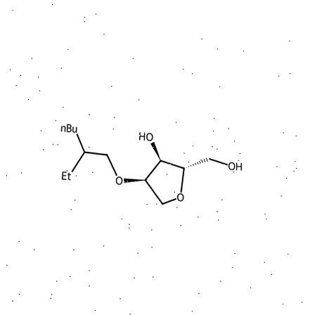 CCCCC(CC)CO[C@@H]1CO[C@@H](CO)[C@@H]1O